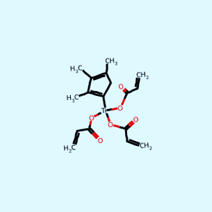 C=CC(=O)[O][Ti]([O]C(=O)C=C)([O]C(=O)C=C)[C]1=C(C)C(C)=C(C)C1